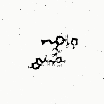 C[C@H](NC(=O)[C@@H]1C[C@@H](F)CN1C(=O)CNC(=O)c1ccc2cc(F)ccc2n1)c1cc(NC(=O)[C@@H]2CCCN2C)ccc1/C=C/C1CC1.Cl